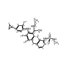 CNS(=O)(=O)Nc1nccc(Cc2cc(C(O)NOC)c(Nc3ccc(C4CC4)cc3F)c(F)c2F)c1F